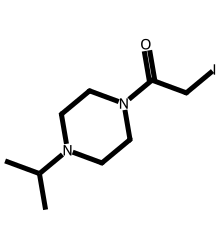 CC(C)N1CCN(C(=O)CI)CC1